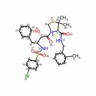 Cc1ccccc1CNC(=O)[C@H]1N(C(=O)[C@@H](O)[C@H](Cc2ccccc2)NS(=O)(=O)c2ccc(Br)cc2)CSC1(C)C